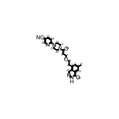 Cc1cc(CCOCCC(=O)N2CCN(c3ccc(C#N)cn3)CC2)c2cn[nH]c(=O)c2c1